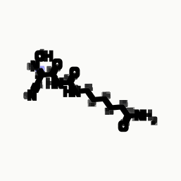 N#C/C(=N/O)C(=O)NC(=O)NCCCCCC(N)=O